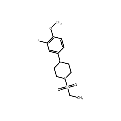 CCS(=O)(=O)N1CCN(c2ccc(OC)c(F)c2)CC1